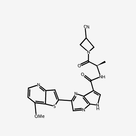 COc1ccnc2cc(-c3cnc4[nH]cc(C(=O)N[C@H](C)C(=O)N5CC(C#N)C5)c4n3)sc12